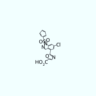 O=C(O)c1cnc(-c2cc(Cl)cc3c2cnn3S(=O)(=O)c2ccccc2)o1